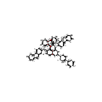 C1=CC(c2cccc(N(c3ccc4c(c3)oc3ccccc34)c3ccccc3-c3ccccc3N(c3ccc4c(c3)oc3ccccc34)c3cccc4c3sc3ccccc34)c2)CC=C1c1ccccc1